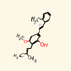 COc1cc(/C=C/c2ccccc2C)cc(O)c1CC=C(C)C